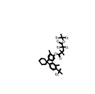 CCC(C)(CC)OC(=O)C(CC)(CC)CC(C)(C)C(=O)Oc1ccc(C2(c3ccc(C(C)(C)CC)c(C)c3)CCCCC2)cc1C